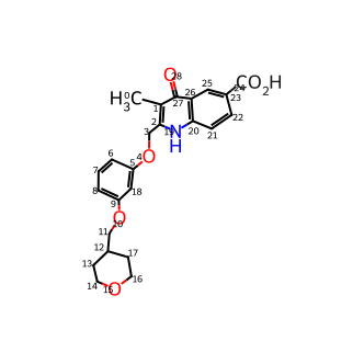 Cc1c(COc2cccc(OCC3CCOCC3)c2)[nH]c2ccc(C(=O)O)cc2c1=O